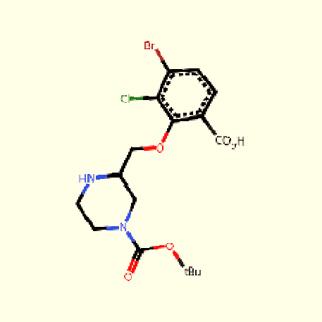 CC(C)(C)OC(=O)N1CCNC(COc2c(C(=O)O)ccc(Br)c2Cl)C1